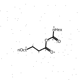 CCCCCCCCCCC(=O)OC(=O)CCCCCC